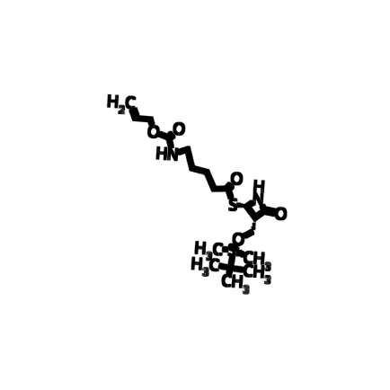 C=CCOC(=O)NCCCCC(=O)S[C@H]1NC(=O)[C@@H]1CO[Si](C)(C)C(C)(C)C